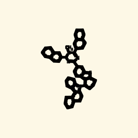 CN1C(c2ccc3ccccc3c2)=NC(c2ccc3c(c2)sc2cccc(-n4c5ccccc5c5c6ccccc6ccc54)c23)=NC1c1ccc2ccccc2c1